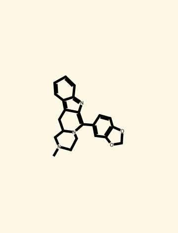 CN1CCN2C(c3ccc4c(c3)OCO4)=C3N=c4ccccc4=C3CC2C1